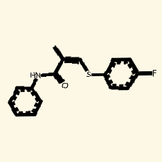 CC(=CSc1ccc(F)cc1)C(=O)Nc1ccccc1